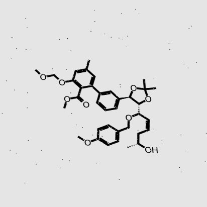 COCOc1cc(C)cc(-c2cccc([C@H]3OC(C)(C)O[C@@H]3C(/C=C\C[C@@H](C)O)OCc3ccc(OC)cc3)c2)c1C(=O)OC